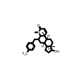 CN1C(=O)C=C[C@@]2(C)C1C(Cc1ccc(C(F)(F)F)cc1)C[C@@H]1[C@H]2CC[C@]2(C)C(O)CC[C@@H]12